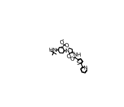 COC(=O)[C@@H]1C[C@H](NC(C)(C)C)CC[C@@H]1N1CC[C@H](NC(=O)c2ccc(-c3ccccn3)s2)C1=O